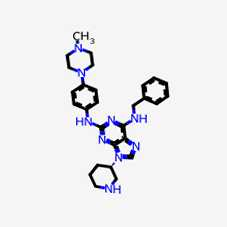 CN1CCN(c2ccc(Nc3nc(NCc4ccccc4)c4ncn([C@H]5CCCNC5)c4n3)cc2)CC1